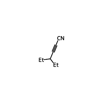 CCC(C#CC#N)CC